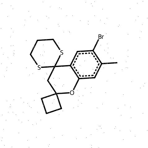 Cc1cc2c(cc1Br)C1(CC3(CCC3)O2)SCCCS1